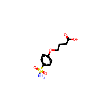 NS(=O)(=O)c1ccc(OCCCC(=O)O)cc1